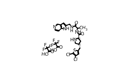 CC(NC(=O)[C@H]1C[C@H](Cc2cc(Cl)c(Cl)s2)CN1)C(=O)NCc1cc2cnccc2[nH]1.O=C(O)C(F)(F)F.O=C(O)C(F)(F)F